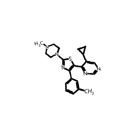 Cc1cccc(-c2nc(N3CCN(C)CC3)sc2-c2n[c]ncc2C2CC2)c1